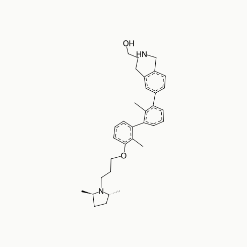 Cc1c(OCCCN2[C@H](C)CC[C@H]2C)cccc1-c1cccc(-c2ccc3c(c2)CC(CO)NC3)c1C